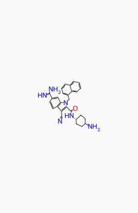 N#Cc1c(C(=O)N[C@H]2CC[C@H](N)CC2)n(Cc2cccc3ccccc23)c2cc(C(=N)N)ccc12